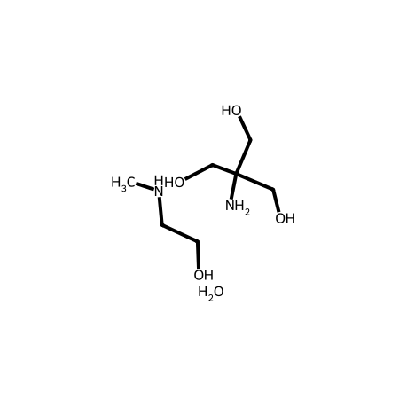 CNCCO.NC(CO)(CO)CO.O